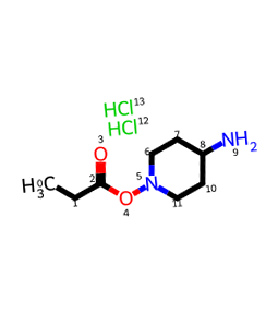 CCC(=O)ON1CCC(N)CC1.Cl.Cl